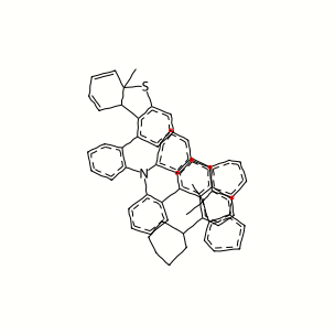 CC1(C)c2ccccc2-c2cccc(-c3cccc(N(c4ccccc4-c4cccc5c4C4C=CC=CC4(C)S5)c4ccccc4-c4cccc5cccc(C6CCCCC6)c45)c3)c21